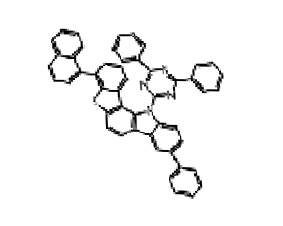 c1ccc(-c2ccc3c(c2)c2ccc4sc5c(-c6cccc7ccccc67)cccc5c4c2n3-c2nc(-c3ccccc3)nc(-c3ccccc3)n2)cc1